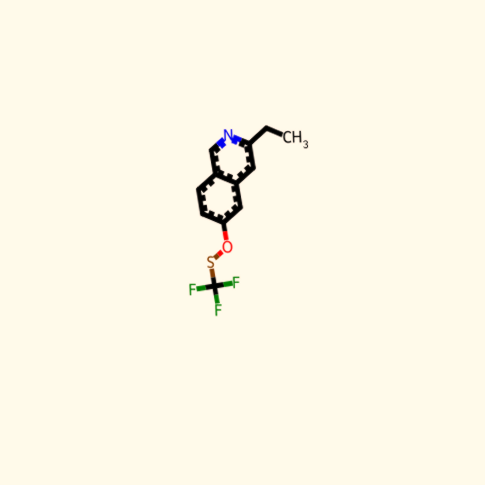 CCc1cc2cc(OSC(F)(F)F)ccc2cn1